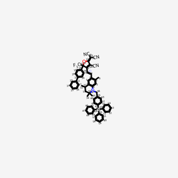 Cc1cc2c(cc1/C=C/C1=C(C#N)C(=C(C#N)C#N)OC1(c1ccc(-c3ccccc3)cc1)C(F)(F)F)C(C)CC(C)(C)N2Cc1ccc([Si](c2ccccc2)(c2ccccc2)c2ccccc2)cc1